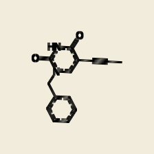 CC#Cc1cn(Cc2ccccc2)c(=O)[nH]c1=O